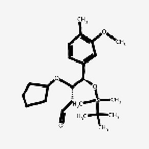 COc1cc([C@@H](O[Si](C)(C)C(C)(C)C)[C@H](CC=O)OC2CCCC2)ccc1C